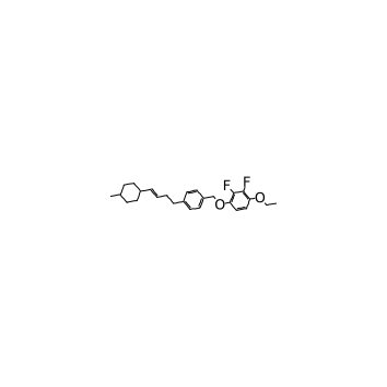 CCOc1ccc(OCc2ccc(CC/C=C/C3CCC(C)CC3)cc2)c(F)c1F